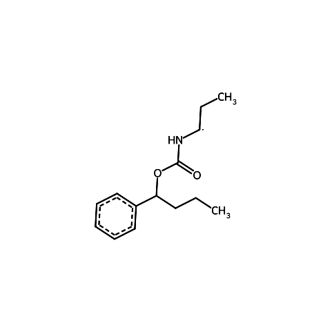 CC[CH]NC(=O)OC(CCC)c1ccccc1